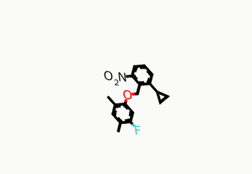 Cc1cc(C)c(OCc2c(C3CC3)cccc2[N+](=O)[O-])cc1F